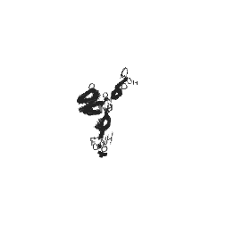 CC(C)(C)OC(=O)N[C@H](CF)C1CCC(C(=O)N2CC[C@H](C3CCC(=O)CC3)[C@H]2C(=O)Nc2ccc3oc(C(=O)O)cc3c2)CC1